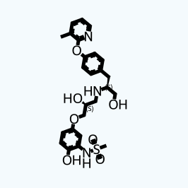 Cc1cccnc1Oc1ccc(C[C@@H](CO)NC[C@H](O)COc2ccc(O)c(NS(C)(=O)=O)c2)cc1